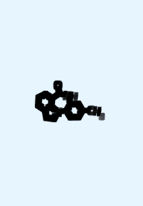 Cc1ccc2c(c1)NC(=O)c1cccc3ccn-2c13